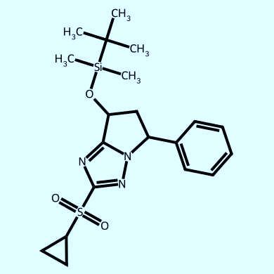 CC(C)(C)[Si](C)(C)OC1CC(c2ccccc2)n2nc(S(=O)(=O)C3CC3)nc21